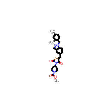 CC(C)(C)OC(=O)N1CCC(N2C(=O)SC(=Cc3ccc4c(cnn4Cc4ccc(C(F)(F)F)cc4C(F)(F)F)c3)C2=O)CC1